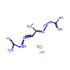 CC(/C=N/NC(=N)N)=N\NC(=N)N.Cl.Cl